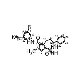 Cn1cc2c(c1C(=O)Nc1cc(F)nc(C#N)c1)CCC(c1ccccc1)NS2(=N)=O